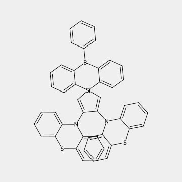 C1=C(N2c3ccccc3Sc3ccccc32)C(N2c3ccccc3Sc3ccccc32)=C[Si]12c1ccccc1B(c1ccccc1)c1ccccc12